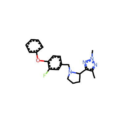 Cc1nn(C)nc1C1CCCN1Cc1ccc(Oc2ccccc2)c(F)c1